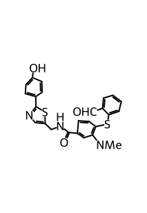 CNc1cc(C(=O)NCc2cnc(-c3ccc(O)cc3)s2)ccc1Sc1ccccc1C=O